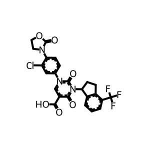 O=C(O)c1cn(-c2ccc(N3CCOC3=O)c(Cl)c2)c(=O)n(C2CCc3c2cccc3C(F)(F)F)c1=O